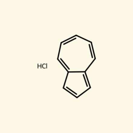 Cl.c1ccc2cccc-2cc1